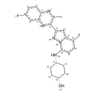 Cc1nc2ccc(F)cc2nc1-c1cc2c(C)ccc(N[C@H]3CC[C@@H](O)CC3)n2n1